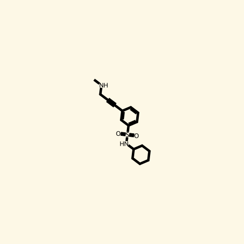 CNCC#Cc1cccc(S(=O)(=O)NC2CCCCC2)c1